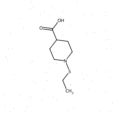 CCSN1CCC(C(=O)O)CC1